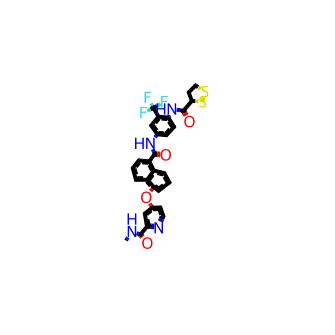 CNC(=O)c1cc(Oc2cccc3c(C(=O)Nc4ccc(NC(=O)C5CCSS5)c(C(F)(F)F)c4)cccc23)ccn1